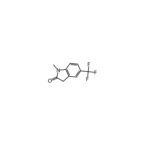 CN1C(=O)Cc2cc(C(F)(F)F)ccc21